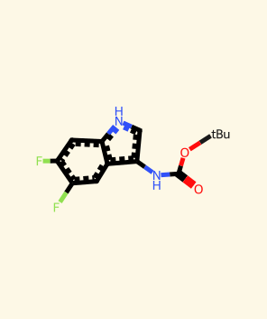 CC(C)(C)OC(=O)Nc1c[nH]c2cc(F)c(F)cc12